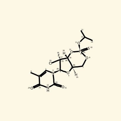 Cc1cn([C@@H]2O[C@@H]3CO[P@](=S)(OC(C)C)O[C@H]3[C@]2(F)Cl)c(=O)[nH]c1=O